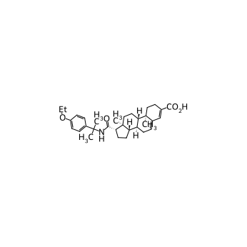 CCOc1ccc(C(C)(C)NC(=O)[C@H]2CC[C@H]3[C@@H]4CC=C5C=C(C(=O)O)CC[C@]5(C)[C@H]4CC[C@]23C)cc1